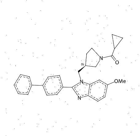 COc1ccc2nc(-c3ccc(-c4ccccc4)cc3)n(C[C@H]3CCN(C(=O)C4CC4)C3)c2c1